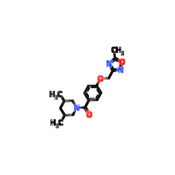 Cc1nc(COc2ccc(C(=O)N3CC(C)CC(C)C3)cc2)no1